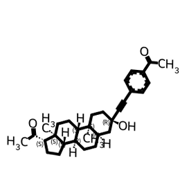 CC(=O)c1ccc(C#C[C@@]2(O)CC[C@@]3(C)[C@H](CC[C@@H]4[C@@H]3CC[C@]3(C)[C@@H](C(C)=O)CC[C@@H]43)C2)cc1